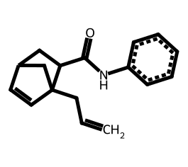 C=CCC12C=CC(CC1C(=O)Nc1ccccc1)C2